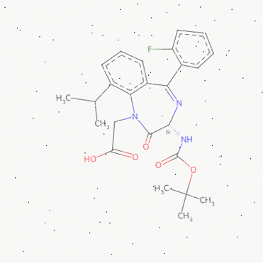 CC(C)c1cccc2c1N(CC(=O)O)C(=O)[C@@H](NC(=O)OC(C)(C)C)N=C2c1ccccc1F